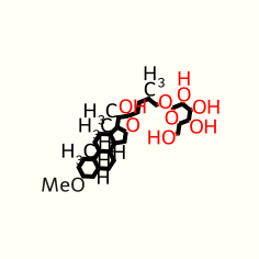 CO[C@H]1CC[C@@]2(C)[C@@H](CC[C@@H]3[C@@H]2CC[C@]2(C)C4C(C[C@@H]32)O[C@](O)(CC[C@@H](C)COC2OC(CO)C(O)C(O)C2O)[C@H]4C)C1